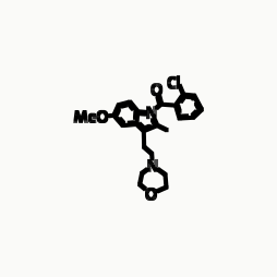 COc1ccc2c(c1)c(CCN1CCOCC1)c(C)n2C(=O)c1ccccc1Cl